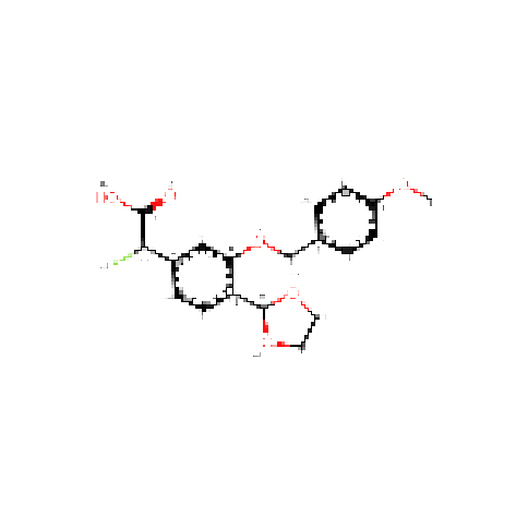 COc1ccc(COc2cc(C(F)C(=O)O)ccc2C2OCCO2)cc1